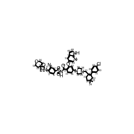 CCC1(CNc2ccc(S(=O)(=O)NC(=O)c3ccc(N4CCN(CC5=C(c6ccc(Cl)cc6)CC(C)(C)CC5)CC4)cc3Oc3cnc4[nH]ccc4c3)cc2[N+](=O)[O-])CCOCC1